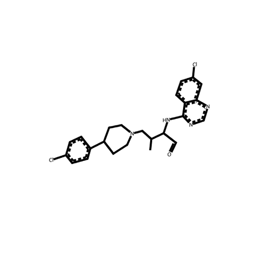 CC(CN1CCC(c2ccc(Cl)cc2)CC1)C(C=O)Nc1ncnc2cc(Cl)ccc12